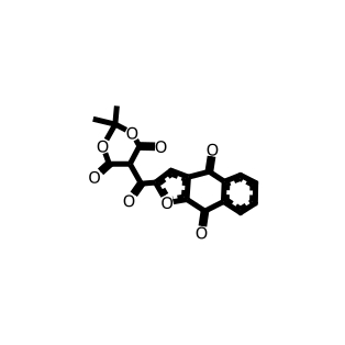 CC1(C)OC(=O)C(C(=O)c2cc3c(o2)C(=O)c2ccccc2C3=O)C(=O)O1